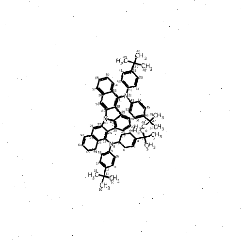 CC(C)(C)C1=CCC(N(c2ccc(C(C)(C)C)cc2)c2c3c(cc4c2c2cccc5c6c(N(c7ccc(C(C)(C)C)cc7)c7ccc(C(C)(C)C)cc7)c7ccccc7cc6n4c25)C=CCC3)CC1